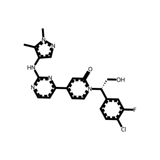 Cc1c(Nc2nccc(-c3ccn([C@H](CO)c4ccc(Cl)c(F)c4)c(=O)c3)n2)cnn1C